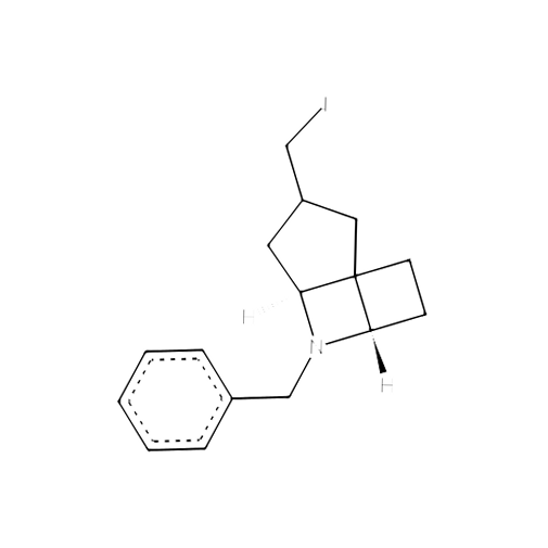 ICC1C[C@@H]2N(Cc3ccccc3)[C@H]3CCC32C1